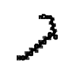 CCCCCCCCCCCCCCCC(=O)OCCOCCOCCOCCO